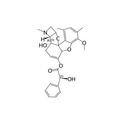 COc1c(C)cc(C)c2c1OC1C(OC(=O)[C@@H](O)c3ccccc3)=CC[C@@]3(O)[C@H]4C(CN4C)CC213